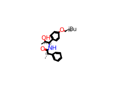 CC[C@H](C)COc1ccc([C@@H](NC(=O)[C@@H](C)c2ccccc2)[C@@H](C)O)cc1